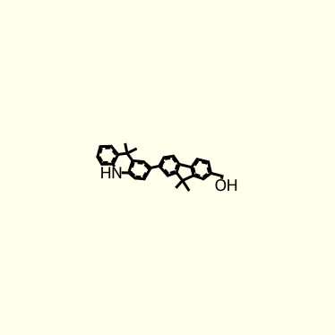 CC1(C)c2ccccc2Nc2ccc(-c3ccc4c(c3)C(C)(C)c3cc(CO)ccc3-4)cc21